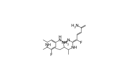 C=C(N)/C=C/C(F)=C(\N=C\NC(=C/CC)/C=C(/F)C(C)=N)NC(C)C(N)CC